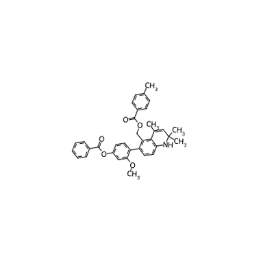 COc1cc(OC(=O)c2ccccc2)ccc1-c1ccc2c(c1COC(=O)c1ccc(C)cc1)C(C)=CC(C)(C)N2